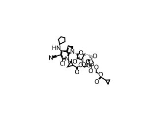 N#Cc1c(Cl)nc2c(ccn2[C@@H]2O[C@H](CS(=O)(=O)CP(=O)(OCOC(=O)C3CC3)OCOC(=O)C3CC3)[C@@H](O)[C@H]2O)c1NC1CCCC1